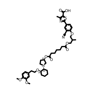 COc1ccc(CCO[C@@H]2CCCC[C@H]2N2CC[C@@H](OC(=O)CCCCCC(=O)OCC(C)COc3ccc(-c4nc(C)c(C(=O)O)s4)cc3C#N)C2)cc1OC